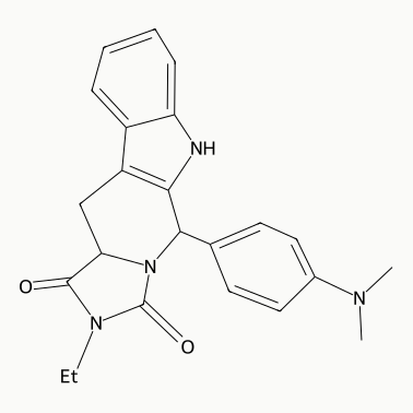 CCN1C(=O)C2Cc3c([nH]c4ccccc34)C(c3ccc(N(C)C)cc3)N2C1=O